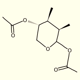 CC(=O)OC1OC[C@H](OC(C)=O)[C@@H](C)[C@H]1C